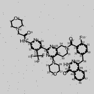 O=C(CN1CCOCC1)Nc1cc(C(F)(F)F)c(-c2nc3c(c(N4CCOCC4)n2)CCN(C(=O)c2cc(Cc4n[nH]c(=O)c5ccccc45)ccc2F)C3)cn1